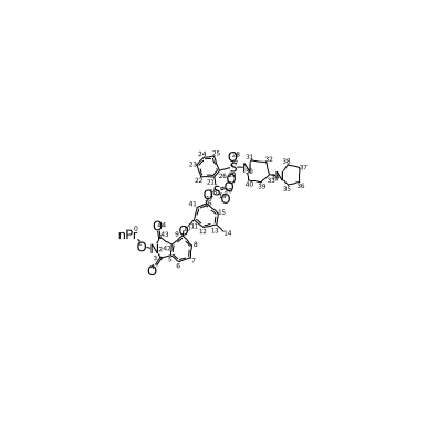 CCCON1C(=O)c2cccc(Oc3cc(C)cc(OS(=O)(=O)c4ccccc4S(=O)(=O)N4CCC(N5CCCC5)CC4)c3)c2C1=O